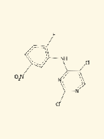 O=[N+]([O-])c1ccc(F)c(Nc2nc(Cl)ncc2Cl)c1